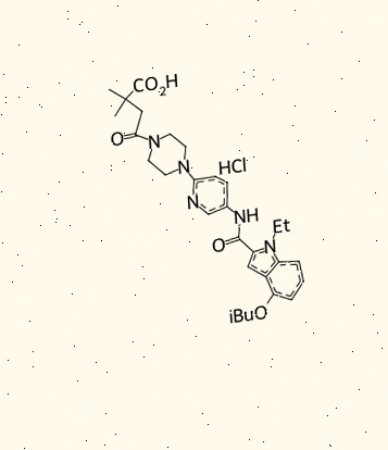 CCn1c(C(=O)Nc2ccc(N3CCN(C(=O)CC(C)(C)C(=O)O)CC3)nc2)cc2c(OCC(C)C)cccc21.Cl